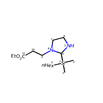 CCCCCC[Si](C)(C)C1NCCN1CCC(=O)OCC